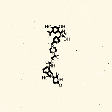 CC(C)c1cc(-c2nnc(O)n2-c2ccc(CN3CCN(C(=O)COC(=O)Nc4cccc5c4CN(C4CCC(=O)NC4=O)C5O)CC3)cc2)c(O)cc1O